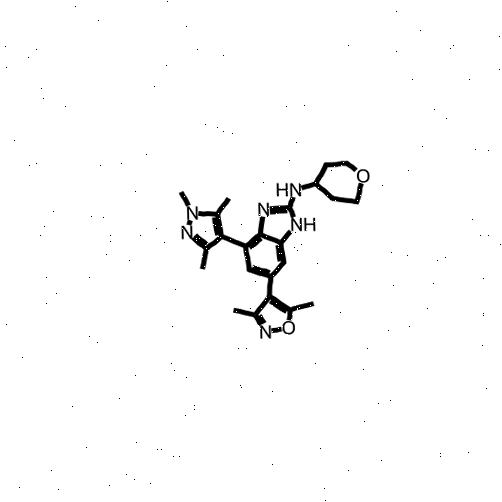 Cc1noc(C)c1-c1cc(-c2c(C)nn(C)c2C)c2nc(NC3CCOCC3)[nH]c2c1